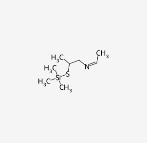 C/C=N\CC(C)S[Si](C)(C)C